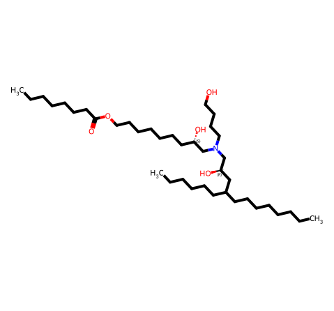 CCCCCCCCC(CCCCCC)C[C@@H](O)CN(CCCCO)C[C@@H](O)CCCCCCCOC(=O)CCCCCCC